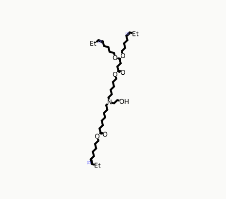 CC/C=C\CCCCCOC(=O)CCCCCCCN(CCO)CCCCCCOC(=O)CCC(OCCCC/C=C\CC)OCCCC/C=C\CC